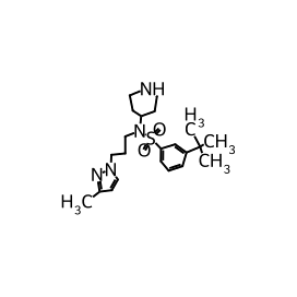 Cc1ccn(CCCN(C2CCNCC2)S(=O)(=O)c2cccc(C(C)(C)C)c2)n1